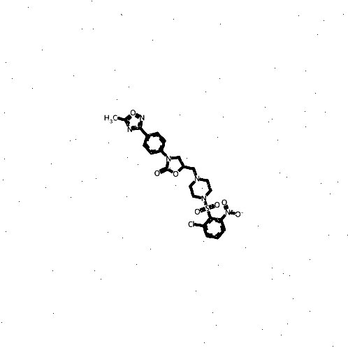 Cc1nc(-c2ccc(N3CC(CN4CCN(S(=O)(=O)c5c(Cl)cccc5[N+](=O)[O-])CC4)OC3=O)cc2)no1